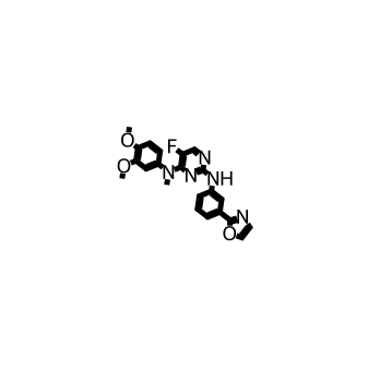 COc1ccc(N(C)c2nc(Nc3cccc(-c4ncco4)c3)ncc2F)cc1OC